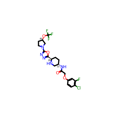 O=C(COc1ccc(Cl)c(F)c1)N[C@H]1CC[C@H](c2nnc(N3CC[C@@H](OC(F)(F)F)C3)o2)NC1